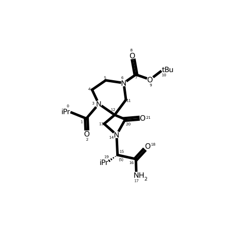 CC(C)C(=O)N1CCN(C(=O)OC(C)(C)C)CC12CN([C@H](C(N)=O)C(C)C)C2=O